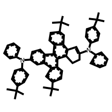 CC(C)(C)c1ccc(N(C2=Cc3c(c4c5ccc(C(C)(C)C)cc5c5cc(N(c6ccccc6)c6ccc(C(C)(C)C)cc6)ccc5c4c4ccc(C(C)(C)C)cc34)CC2)c2ccccc2)cc1